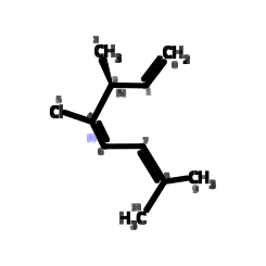 C=C[C@H](C)/C(Cl)=C\C=C(C)C